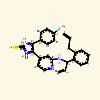 C=CCc1ccccc1C(C=C)Nc1cc(-c2[nH]c(=S)[nH]c2-c2ccc(F)cc2)ccn1